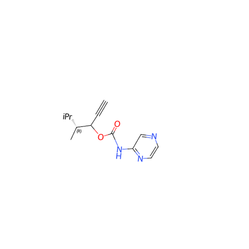 C#CC(OC(=O)Nc1cnccn1)[C@H](C)C(C)C